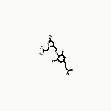 CC1=NN(CC(C)C)C(COc2c(F)cc(CCC(=O)O)cc2F)C1